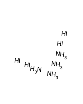 I.I.I.I.N.N.N.N